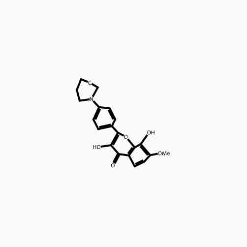 COc1ccc2c(=O)c(O)c(-c3ccc(N4CCCCC4)cc3)oc2c1O